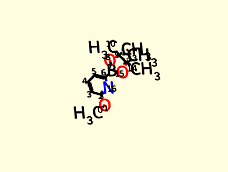 COc1cccc(B2OC(C)(C)C(C)(C)O2)n1